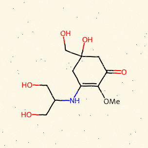 COC1=C(NC(CO)CO)CC(O)(CO)CC1=O